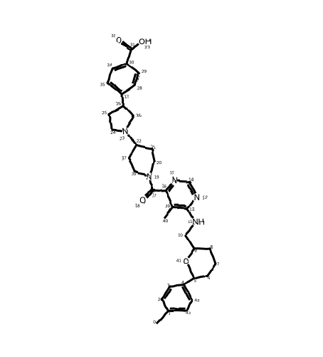 Cc1ccc(C2CCCC(CNc3ncnc(C(=O)N4CCC(N5CCC(c6ccc(C(=O)O)cc6)C5)CC4)c3C)O2)cc1